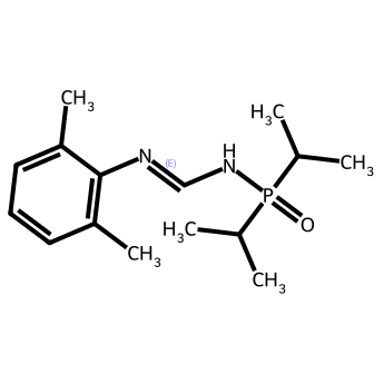 Cc1cccc(C)c1/N=C/NP(=O)(C(C)C)C(C)C